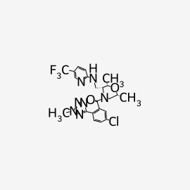 C[C@@H]1CN(C(=O)c2cc(Cl)ccc2-c2nnn(C)n2)[C@H](CNc2ccc(C(F)(F)F)cn2)[C@H](C)O1